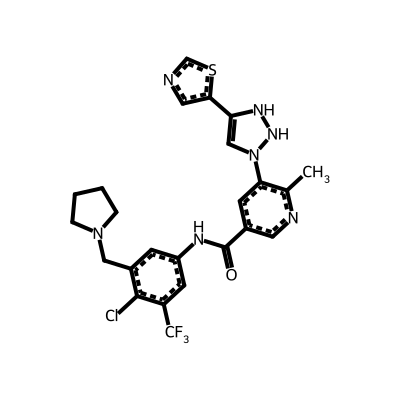 Cc1ncc(C(=O)Nc2cc(CN3CCCC3)c(Cl)c(C(F)(F)F)c2)cc1N1C=C(c2cncs2)NN1